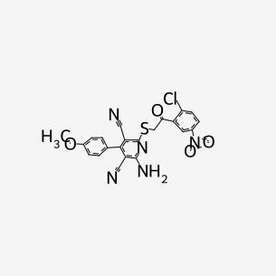 COc1ccc(-c2c(C#N)c(N)nc(SCC(=O)c3cc([N+](=O)[O-])ccc3Cl)c2C#N)cc1